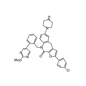 COc1ncc(-c2ccccc2CN2C(=O)c3oc(-c4ccc(Cl)cc4)cc3Cc3cc(N4CCNCC4)ccc32)cn1